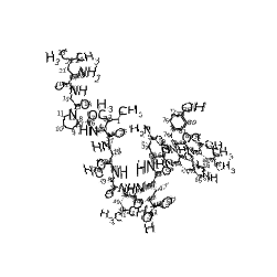 CC[C@H](C)[C@H](NC(=O)[C@@H]1CCCN1C(=O)CNC(=O)[C@@H](N)CC(C)C)C(=O)NCC(=O)N[C@@H](CO)C(=O)N[C@@H](CC(C)C)C(=O)N[C@@H](CCC(=O)O)C(=O)N[C@@H](CC(N)=O)C(=O)N[C@@H](Cc1c[nH]cn1)C(=O)N[C@@H](Cc1ccc(O)cc1)C(=O)N[C@@H](CC(C)C)C(=O)O